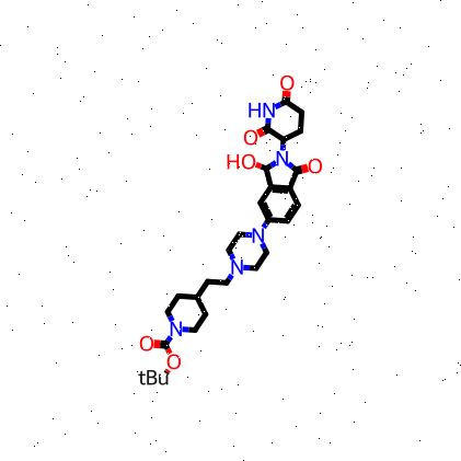 CC(C)(C)OC(=O)N1CCC(CCN2CCN(c3ccc4c(c3)C(O)N(C3CCC(=O)NC3=O)C4=O)CC2)CC1